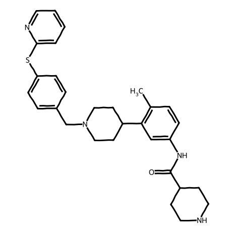 Cc1ccc(NC(=O)C2CCNCC2)cc1C1CCN(Cc2ccc(Sc3ccccn3)cc2)CC1